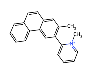 Cc1cc2ccc3ccccc3c2cc1-c1cccc[n+]1C